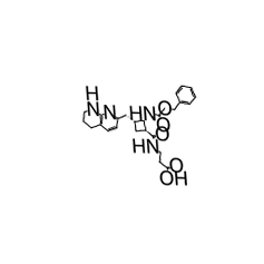 O=C(O)CCNC(=O)[C@H]1C[C@H](Cc2ccc3c(n2)NCCC3)C1NC(=O)OCc1ccccc1